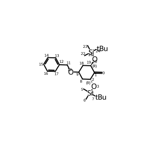 C=C1[C@H](O[Si](C)(C)C(C)(C)C)CC(OCc2ccccc2)C[C@H]1O[Si](C)(C)C(C)(C)C